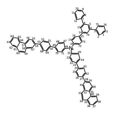 c1ccc(-c2cc(-c3ccccc3)cc(-c3ccc(N(c4ccc(-c5ccc(-c6ccc7c(ccc8ccccc87)c6)cc5)cc4)c4ccc(-c5ccc(-c6ccc7c(ccc8ccccc87)c6)cc5)cc4)cc3)c2)cc1